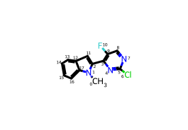 Cn1c(-c2nc(Cl)ncc2F)cc2ccccc21